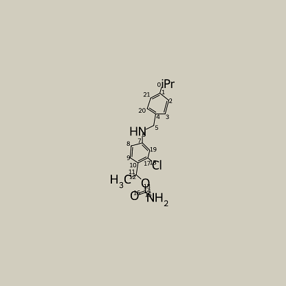 CC(C)c1ccc(CNc2ccc(C(C)OC(N)=O)c(Cl)c2)cc1